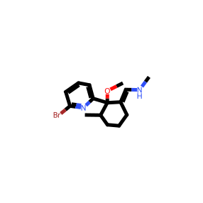 CN/C=C1\CCCC(C)C1(OC)c1cccc(Br)n1